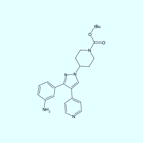 CC(C)(C)OC(=O)N1CCC(n2cc(-c3ccncc3)c(-c3cccc(N)c3)n2)CC1